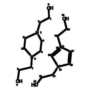 OCCN1CCN(CCO)CC1.OCCn1cc[n+](CCO)c1